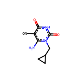 Nc1c(N=O)c(=O)[nH]c(=O)n1CC1CC1